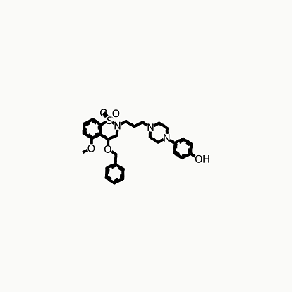 COc1cccc2c1C(OCc1ccccc1)CN(CCCN1CCN(c3ccc(O)cc3)CC1)S2(=O)=O